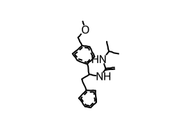 C=C(NC(C)C)NC(Cc1ccccc1)c1ccc(COC)cc1